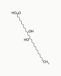 CCCCCCCCCCCCCC(O)CCC(O)CCCCCCCCCC(=O)O